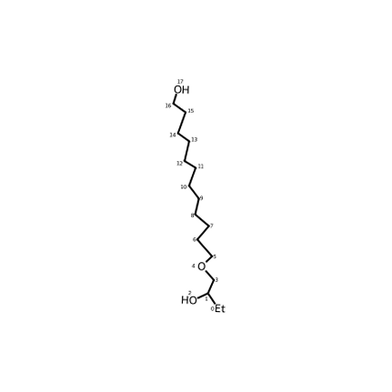 CCC(O)COCCCCCCCCCCCCO